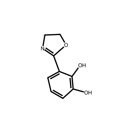 Oc1cccc(C2=N[CH]CO2)c1O